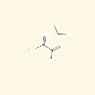 C=C(C)C(=O)O.ClCCl